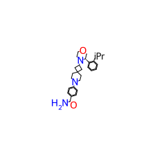 CC(C)c1ccccc1[C@@H]1COCCN1C1CC2(CCN(c3ccc(C(N)=O)cc3)CC2)C1